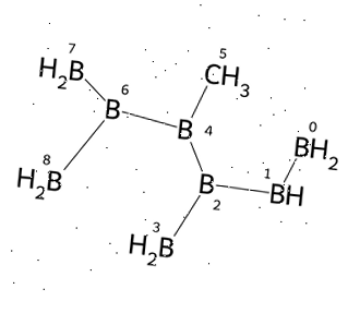 BBB(B)B(C)B(B)B